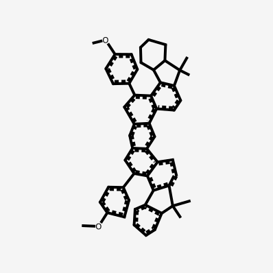 COc1ccc(-c2cc3cc4cc(-c5ccc(OC)cc5)c5c6c(ccc5c4cc3c3ccc4c(c23)-c2ccccc2C4(C)C)C(C)(C)C2CCCCC62)cc1